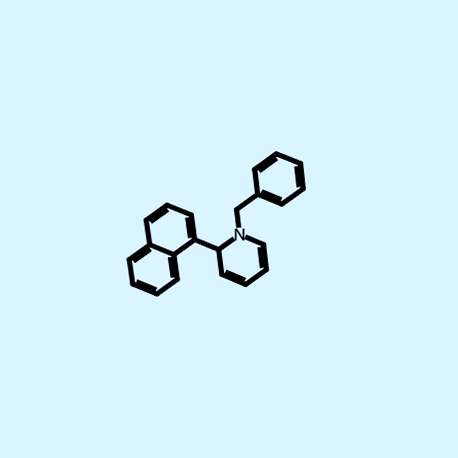 C1=CC(c2cccc3ccccc23)N(Cc2ccccc2)C=C1